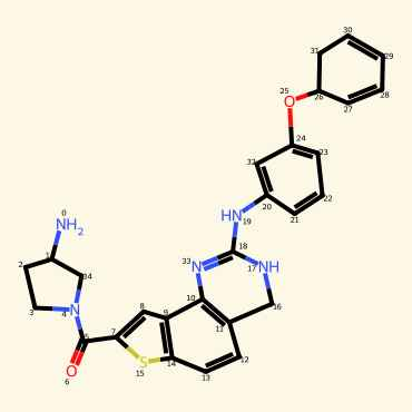 NC1CCN(C(=O)c2cc3c4c(ccc3s2)CNC(Nc2cccc(OC3C=CC=CC3)c2)=N4)C1